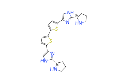 c1[nH]c([C@@H]2CCCN2)nc1-c1ccc(-c2ccc(-c3c[nH]c([C@@H]4CCCN4)n3)s2)s1